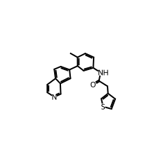 Cc1ccc(NC(=O)Cc2ccsc2)cc1-c1ccc2ccncc2c1